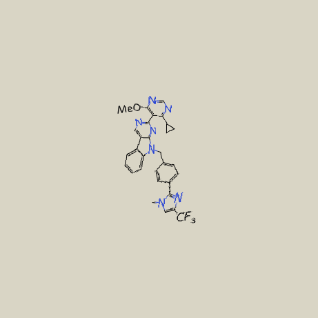 COc1ncnc(C2CC2)c1-c1ncc2c3ccccc3n(Cc3ccc(-c4nc(C(F)(F)F)cn4C)cc3)c2n1